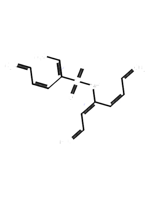 C=C/C=C\C(=C/C=C)NS(=O)(=O)C(/C=C\C=C)=C/C